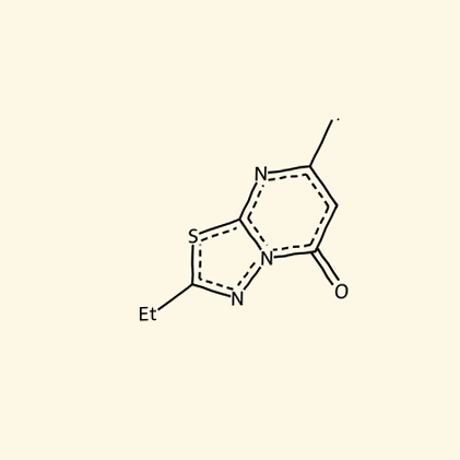 [CH2]c1cc(=O)n2nc(CC)sc2n1